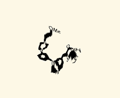 COCCN1CCN(c2cccc(-n3cnc4ccc(/C=C5\SC(=S)NC5=O)cc43)c2)CC1